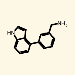 NCc1cccc(-c2cccc3[nH]ccc23)c1